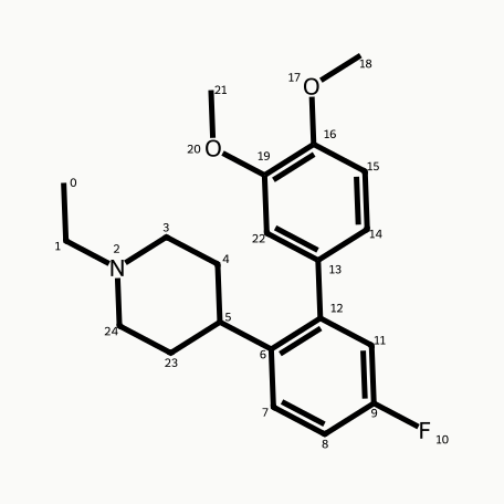 CCN1CCC(c2ccc(F)cc2-c2ccc(OC)c(OC)c2)CC1